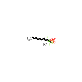 CCCCCCCCCC(F)C(F)(F)C(F)(F)S(=O)(=O)[O-].[K+]